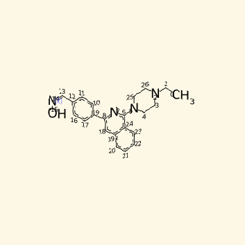 CCN1CCN(c2nc(-c3ccc(/C=N\O)cc3)cc3ccccc23)CC1